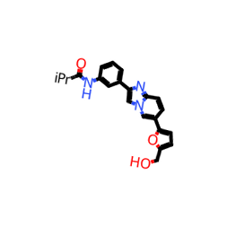 CC(C)C(=O)Nc1cccc(-c2cn3cc(-c4ccc(CO)o4)ccc3n2)c1